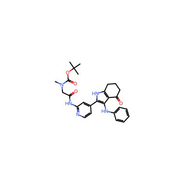 CN(CC(=O)Nc1cc(-c2[nH]c3c(c2Nc2ccccc2)C(=O)CCC3)ccn1)C(=O)OC(C)(C)C